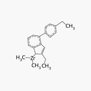 CCC1=Cc2c(-c3ccc(CC)cc3)cccc2[CH]1[Zr]([CH3])[CH3]